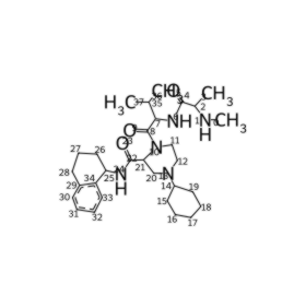 CNC(C)C(=O)NC(C(=O)N1CCN(C2CCCCC2)CC1C(=O)NC1CCCc2ccccc21)C(C)C